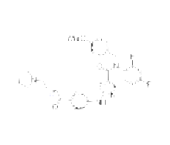 COc1ccc(CN(C(=O)c2cnc(Nc3ccc(C(=O)/C=C/CN4CCCC4)cc3)s2)c2ccc(F)cc2F)cc1